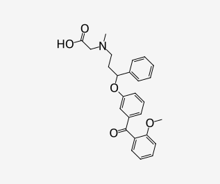 COc1ccccc1C(=O)c1cccc(OC(CCN(C)CC(=O)O)c2ccccc2)c1